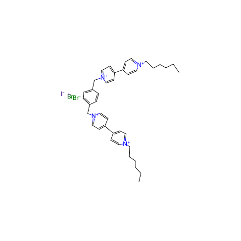 CCCCCC[n+]1ccc(-c2cc[n+](Cc3ccc(C[n+]4ccc(-c5cc[n+](CCCCCC)cc5)cc4)cc3)cc2)cc1.[Br-].[Br-].[I-].[I-]